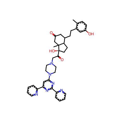 Cc1ccc(O)cc1CCC1CC(=O)CC2(C)C1CC[C@]2(O)C(=O)CN1CCN(c2cc(-c3ccccn3)nc(-c3ccccn3)n2)CC1